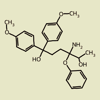 COc1ccc(C(O)(CCC(N)(Oc2ccccc2)C(C)O)c2ccc(OC)cc2)cc1